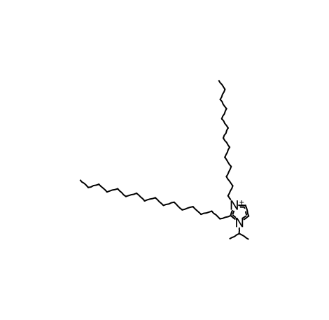 CCCCCCCCCCCCCCCCc1n(C(C)C)cc[n+]1CCCCCCCCCCCCC